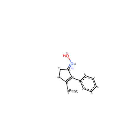 CCCCCC1=C(c2ccccc2)/C(=N/O)CC1